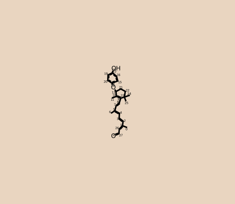 CC(C=CC=C(C)C=CC1=C(C)C(Oc2ccc(O)cc2)CCC1(C)C)=CC=O